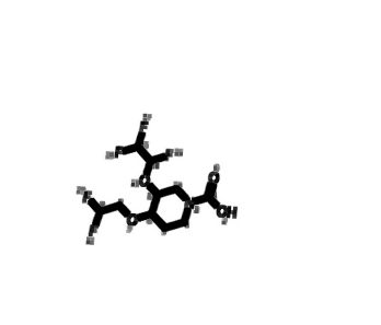 O=C(O)N1CCC(OCC(F)F)C(OC(F)C(F)F)C1